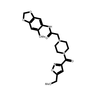 COCc1cc(C(=O)N2CCN(CC(=O)Nc3cc4c(cc3OC)OCO4)CC2)no1